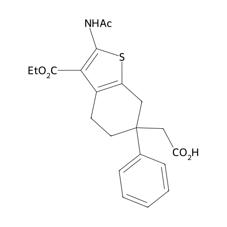 CCOC(=O)c1c(NC(C)=O)sc2c1CCC(CC(=O)O)(c1ccccc1)C2